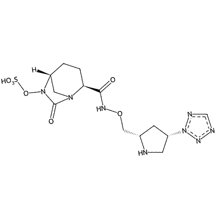 O=C(NOC[C@@H]1C[C@H](n2ncnn2)CN1)[C@@H]1CC[C@@H]2CN1C(=O)N2OS(=O)(=O)O